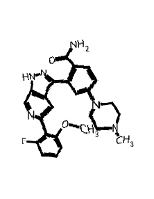 COc1cccc(F)c1-c1cc2c(-c3cc(N4CCN(C)CC4)ccc3C(N)=O)n[nH]c2cn1